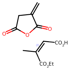 C=C1CC(=O)OC1=O.CCOC(=O)/C(C)=C\C(=O)O